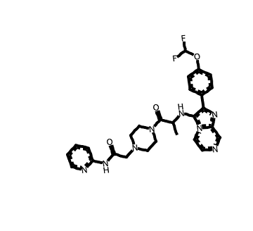 CC(Nc1c(-c2ccc(OC(F)F)cc2)nc2cnccn12)C(=O)N1CCN(CC(=O)Nc2ccccn2)CC1